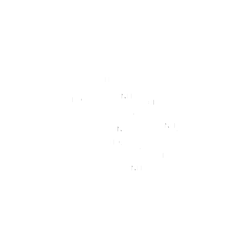 CC1(C)C=NC(C)(C(N)C(C)(C)N)N1